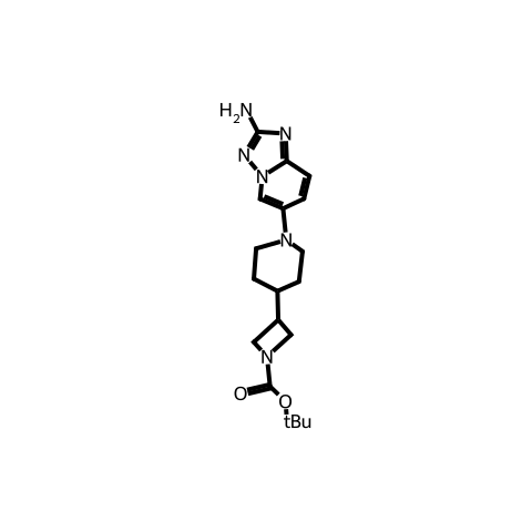 CC(C)(C)OC(=O)N1CC(C2CCN(c3ccc4nc(N)nn4c3)CC2)C1